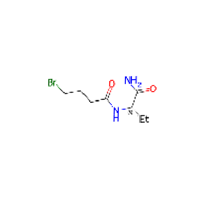 CC[C@H](NC(=O)CCCBr)C(N)=O